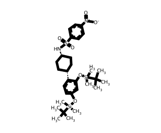 CC(C)(C)[Si](C)(C)Oc1ccc([C@H]2CC[C@@H](NS(=O)(=O)c3ccc([N+](=O)[O-])cc3)CC2)c(O[Si](C)(C)C(C)(C)C)c1